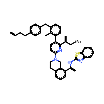 C=CCCc1ccc(Cc2cccc(-c3ccc(N4CCc5cccc(C(=C)Nc6nc7ccccc7s6)c5C4)nc3C(=C)CC(C)(C)C)c2C)cc1